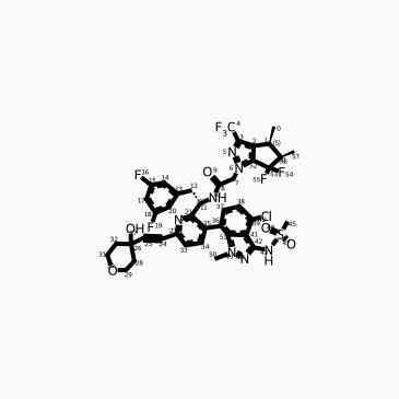 C[C@@H]1c2c(C(F)(F)F)nn(CC(=O)N[C@@H](Cc3cc(F)cc(F)c3)c3nc(C#CC4(O)CCOCC4)ccc3-c3ccc(Cl)c4c(NS(C)(=O)=O)nn(C)c34)c2C(F)(F)[C@@H]1C